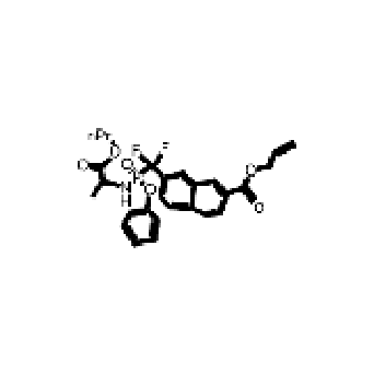 C=CCOC(=O)c1ccc2ccc(C(F)(F)P(=O)(NC(C)C(=O)OCCC)Oc3ccccc3)cc2c1